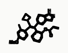 C=CC(=O)Oc1ccccc1/C(=C(\c1ccc(OC)cc1C)C1CCC1)c1ccc2[nH]ncc2c1